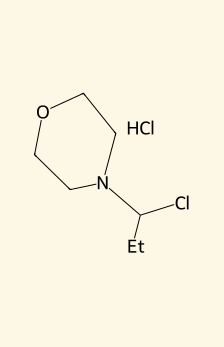 CCC(Cl)N1CCOCC1.Cl